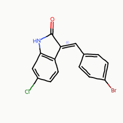 O=C1Nc2cc(Cl)ccc2/C1=C\c1ccc(Br)cc1